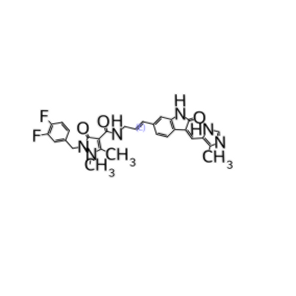 Cc1nc[nH]c1C=C1C(=O)Nc2cc(/C=C/CNC(=O)c3c(C)n(C)n(Cc4ccc(F)c(F)c4)c3=O)ccc21